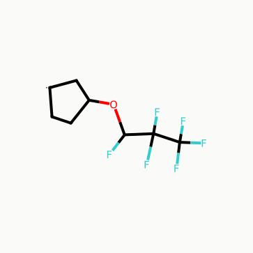 FC(OC1C[CH]CC1)C(F)(F)C(F)(F)F